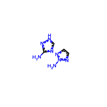 Nc1nc[nH]n1.Nn1nccn1